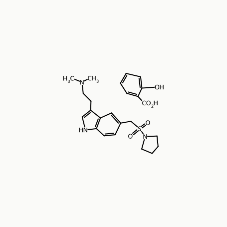 CN(C)CCc1c[nH]c2ccc(CS(=O)(=O)N3CCCC3)cc12.O=C(O)c1ccccc1O